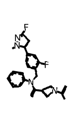 C=C(C)N1CC(C(=C)N(Cc2ccc(C3CC(F)=NN3C)cc2F)c2ccccc2)C1